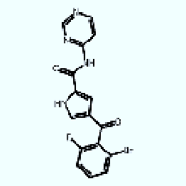 O=C(Nc1ccncn1)c1cc(C(=O)c2c(F)cccc2Br)c[nH]1